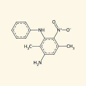 Cc1cc(N)c(C)c(Nc2ccccc2)c1[N+](=O)[O-]